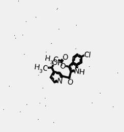 CC(=O)Oc1c(C(=O)c2cc(C(C)O)ccn2)[nH]c2cc(Cl)ccc12